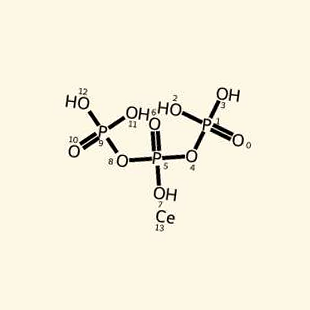 O=P(O)(O)OP(=O)(O)OP(=O)(O)O.[Ce]